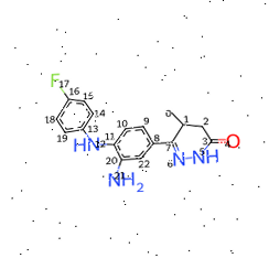 CC1CC(=O)NN=C1c1ccc(Nc2ccc(F)cc2)c(N)c1